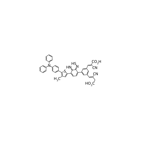 Cc1cc(C2=CC=C(c3cc(/C=C(\C#N)CC(=O)O)cc(/C=C(\C#N)C(=O)O)c3)/C(=N/S)C2=N)sc1-c1ccc(N(c2ccccc2)c2ccccc2)cc1